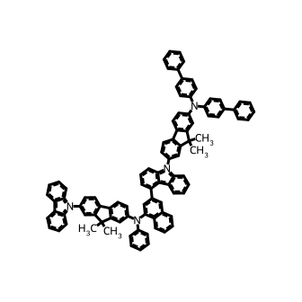 CC1(C)c2cc(N(c3ccccc3)c3cc(-c4cccc5c4c4ccccc4n5-c4ccc5c(c4)C(C)(C)c4cc(N(c6ccc(-c7ccccc7)cc6)c6ccc(-c7ccccc7)cc6)ccc4-5)cc4ccccc34)ccc2-c2ccc(-n3c4ccccc4c4ccccc43)cc21